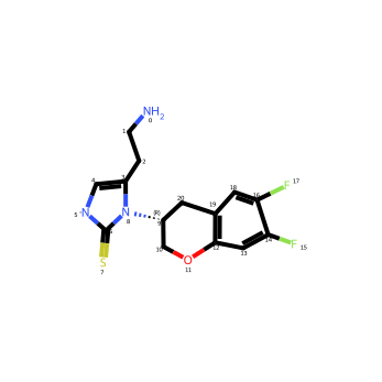 NCCC1=C[N]C(=S)N1[C@H]1COc2cc(F)c(F)cc2C1